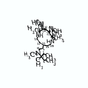 CCC(C)(CC)N(C)CCC1CCNC(C)(C)/C(=N\O)C/C(=N/O)C(C)(C)NCC1